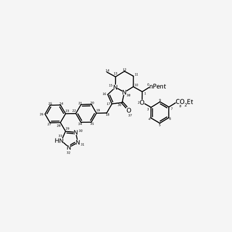 CCCCCC(Oc1cccc(C(=O)OCC)c1)C1CCC(C)n2cc(Cc3ccc(-c4ccccc4-c4nnn[nH]4)cc3)c(=O)n21